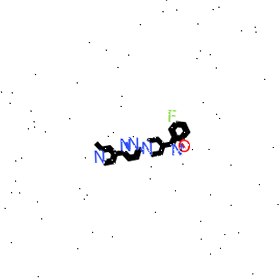 Cc1cc(-c2ccc(N3CCC(c4noc5ccc(F)cc45)CC3)nn2)ccn1